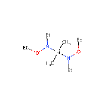 CCON(CC)[Si](C)(C)N(CC)OCC